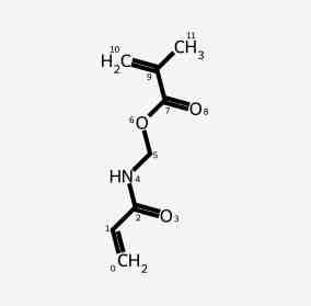 C=CC(=O)NCOC(=O)C(=C)C